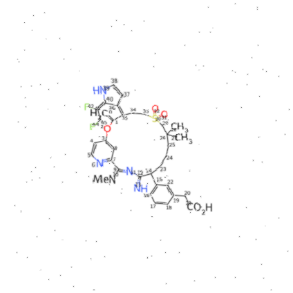 C=C1Oc2ccnc(c2)/C(NC)=N/C(=N)C(c2cccc(CC(=O)O)c2)CCCC(C)(C)CS(=O)(=O)CC/C1=c1\cc[nH]\c1=C(/F)CF